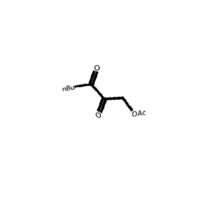 [CH2]CCCC(=O)C(=O)COC(C)=O